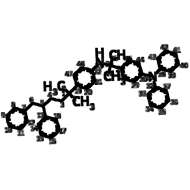 CC(C)(CCC(Cc1ccccc1)c1ccccc1)c1ccc(NC(C)(C)c2ccc(N(c3ccccc3)c3ccccc3)cc2)cc1